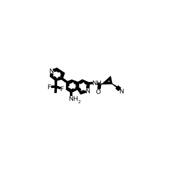 CC(F)(F)c1cnccc1-c1cc(N)c2cnc(NC(=O)[C@@H]3C[C@H]3C#N)cc2c1